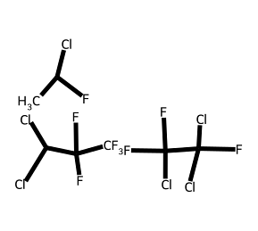 CC(F)Cl.FC(F)(Cl)C(F)(Cl)Cl.FC(F)(F)C(F)(F)C(Cl)Cl